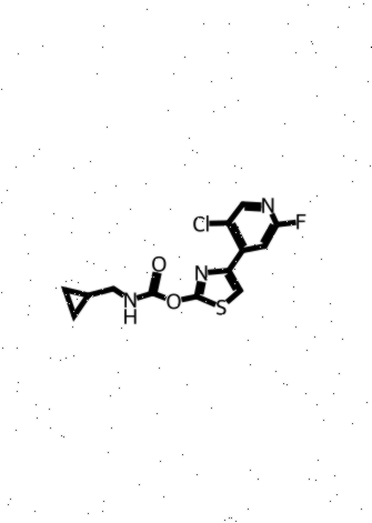 O=C(NCC1CC1)Oc1nc(-c2cc(F)ncc2Cl)cs1